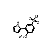 CCS(=O)(=O)c1ccc(OC)c(-c2ccc[nH]2)c1